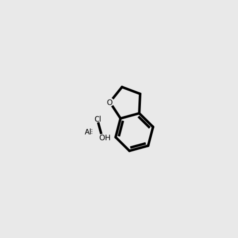 OCl.[Al].c1ccc2c(c1)CCO2